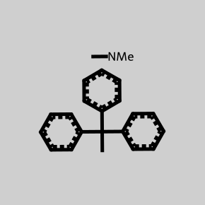 CC(c1ccccc1)(c1ccccc1)c1ccccc1.CNC